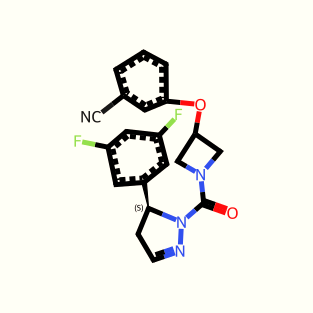 N#Cc1cccc(OC2CN(C(=O)N3N=CC[C@H]3c3cc(F)cc(F)c3)C2)c1